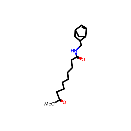 COC(=O)CCCCCCCC(=O)NCC1CC2C=CC1C2